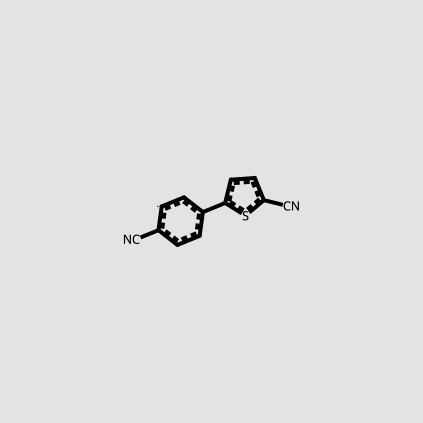 N#Cc1[c]cc(-c2ccc(C#N)s2)cc1